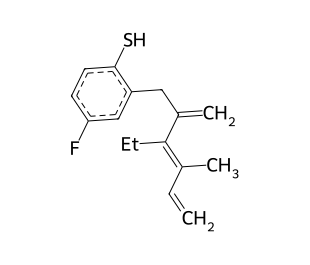 C=C/C(C)=C(\CC)C(=C)Cc1cc(F)ccc1S